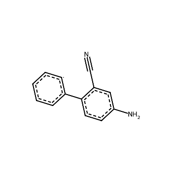 N#Cc1cc(N)ccc1-c1[c]cccc1